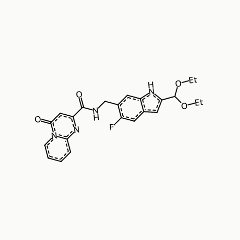 CCOC(OCC)c1cc2cc(F)c(CNC(=O)c3cc(=O)n4ccccc4n3)cc2[nH]1